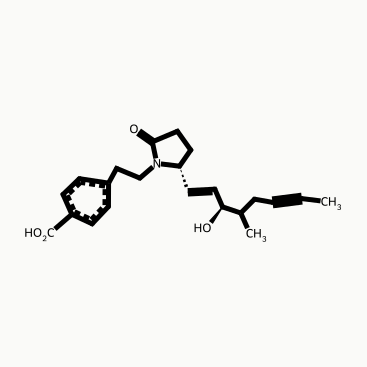 CC#CCC(C)[C@@H](O)/C=C/[C@H]1CCC(=O)N1CCc1ccc(C(=O)O)cc1